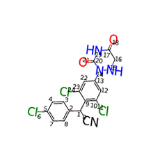 N#CC(c1ccc(Cl)cc1)c1c(Cl)cc(N2NCC(=O)NC2=O)cc1Cl